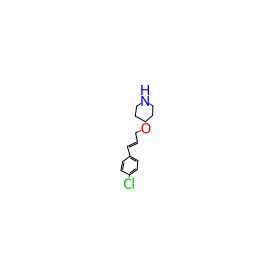 Clc1ccc(/C=C/COC2CCNCC2)cc1